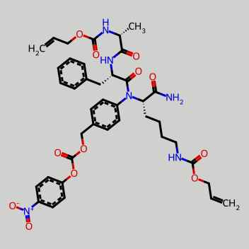 C=CCOC(=O)NCCCC[C@@H](C(N)=O)N(C(=O)[C@H](Cc1ccccc1)NC(=O)[C@@H](C)NC(=O)OCC=C)c1ccc(COC(=O)Oc2ccc([N+](=O)[O-])cc2)cc1